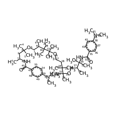 CC(CC(C)(C)OCC(C)C(C)(C)C(C)(C)OCCC(C)(C)C(C)(N)OCC(C)C(C)(C)NC(=O)c1ccc(N(C)C)cc1)NC(=O)c1ccc(N(C)C)cc1